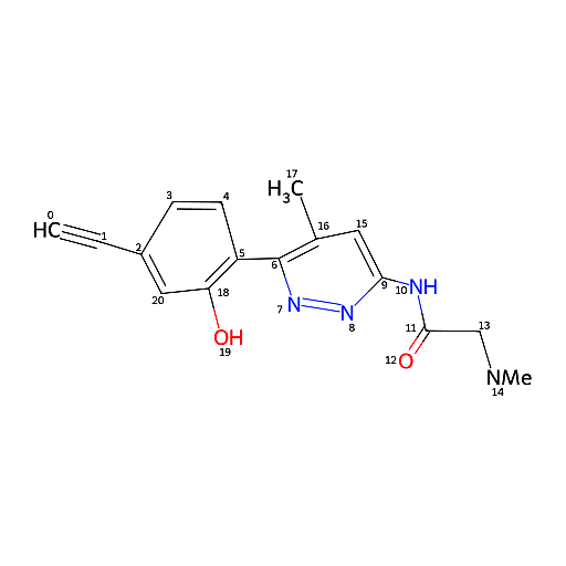 C#Cc1ccc(-c2nnc(NC(=O)CNC)cc2C)c(O)c1